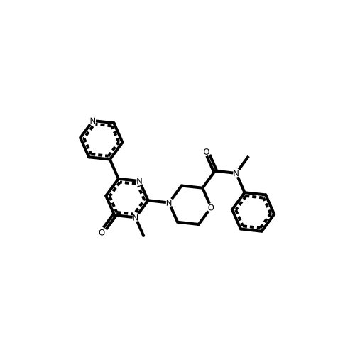 CN(C(=O)C1CN(c2nc(-c3ccncc3)cc(=O)n2C)CCO1)c1ccccc1